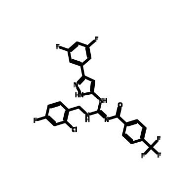 O=C(/N=C(/NCc1ccc(F)cc1Cl)Nc1cc(-c2cc(F)cc(F)c2)n[nH]1)c1ccc(C(F)(F)F)cc1